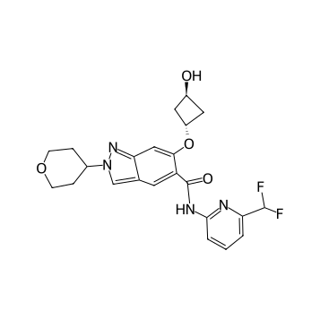 O=C(Nc1cccc(C(F)F)n1)c1cc2cn(C3CCOCC3)nc2cc1O[C@H]1C[C@H](O)C1